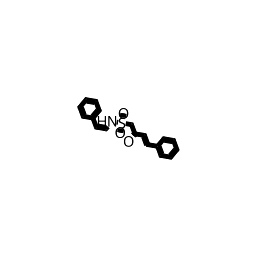 O=C(/C=C/c1ccccc1)CS(=O)(=O)N/C=C\c1ccccc1